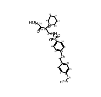 CCCOc1ccc(COc2ccc(S(=O)(=O)NCC(C(=O)NO)N3CCCCC3)cc2)cc1